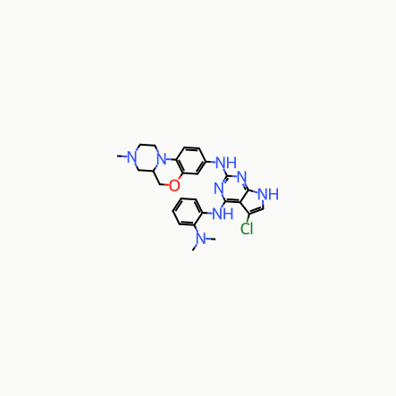 CN1CCN2c3ccc(Nc4nc(Nc5ccccc5N(C)C)c5c(Cl)c[nH]c5n4)cc3OCC2C1